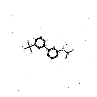 CC(C)Oc1cccc(-c2cccc(C(C)(C)C)c2)c1